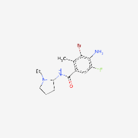 CCN1CCCC1NC(=O)c1cc(F)c(N)c(Br)c1C